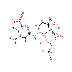 CO[C@@H]1[C@H](OC(=O)N[C@H](c2noc(=O)[nH]2)C(C)C)CC[C@]2(CO2)[C@H]1[C@@]1(C)O[C@@H]1CC=C(C)C